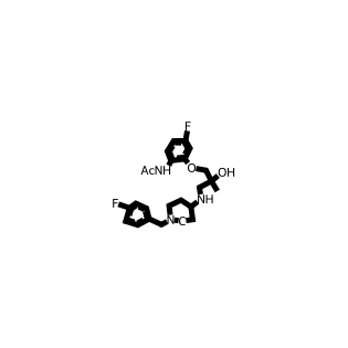 CC(=O)Nc1ccc(F)cc1OCC(C)(O)CNC1CCN(Cc2ccc(F)cc2)CC1